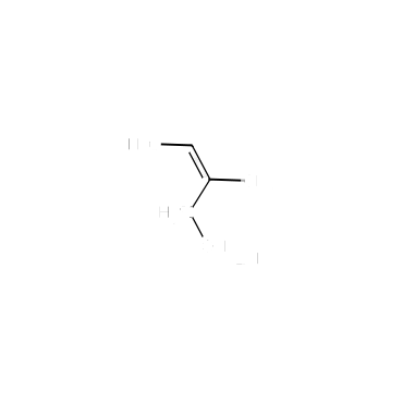 CC=C(C)[SiH2]O.[LiH]